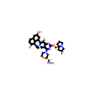 C#Cc1c(F)ccc2cc(O)cc(-c3ncc4c(N5CCO[C@@H](COC)C5)nc(OC[C@@]56CCCN5C[C@H](F)C6)nc4c3F)c12